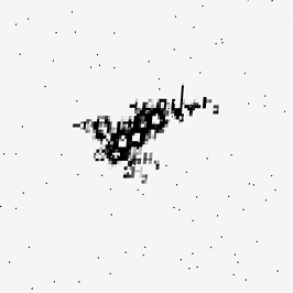 CCNC(=O)O[C@@H]1CC[C@]2(C)[C@H]3CCC4[C@@H]5[C@H](C(C)C)CC[C@]5(C(=O)NCC(=O)O)CC[C@@]4(C)[C@]3(C)CC[C@H]2C1(C)C